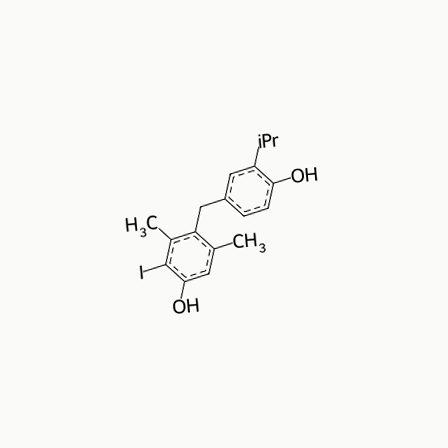 Cc1cc(O)c(I)c(C)c1Cc1ccc(O)c(C(C)C)c1